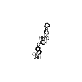 CNC(=O)n1ccc2cc(Oc3ccnc(NC(=O)N4CCN(C5CCCCC5)CC4)c3)ccc21